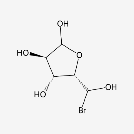 OC(Br)[C@H]1OC(O)[C@H](O)[C@H]1O